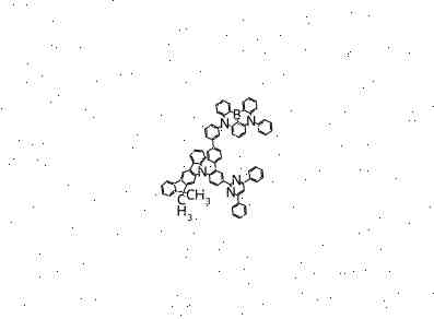 CC1(C)c2ccccc2-c2cc3c4ccccc4n(-c4ccc(-c5nc(-c6ccccc6)cc(-c6ccccc6)n5)cc4-c4ccc(-c5cccc(N6c7ccccc7B7c8ccccc8N(c8ccccc8)c8cccc6c87)c5)cc4)c3cc21